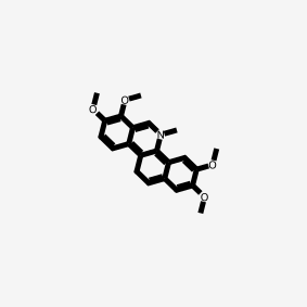 COc1cc2c(cc1OC)=C1C(=c3ccc(OC)c(OC)c3=CN1C)CC=2